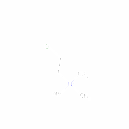 CCC[N+](C)(C)CCCl